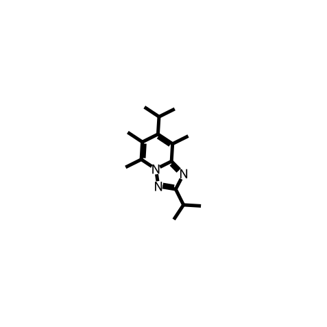 Cc1c(C(C)C)c(C)c2nc(C(C)C)nn2c1C